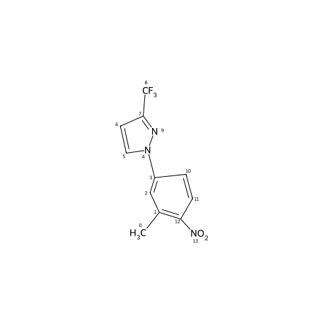 Cc1cc(-n2ccc(C(F)(F)F)n2)ccc1[N+](=O)[O-]